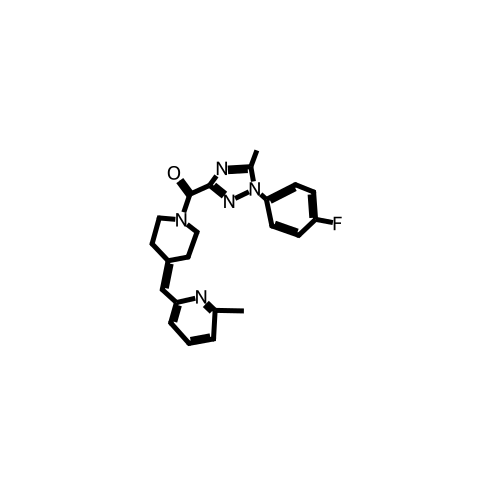 Cc1cccc(C=C2CCN(C(=O)c3nc(C)n(-c4ccc(F)cc4)n3)CC2)n1